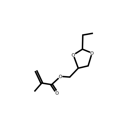 C=C(C)C(=O)OCC1COC(CC)O1